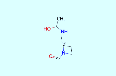 CC(O)NC[C@@H]1CCN1C=O